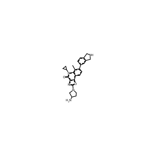 Cc1c(-c2ccc3c(c2)CNC3)ccc2c3oc(N4CCC(N)C4)nc3c(=O)n(C3CC3)c12